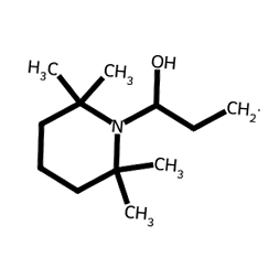 [CH2]CC(O)N1C(C)(C)CCCC1(C)C